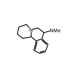 CNC1CN2CCCCC2c2ccccc21